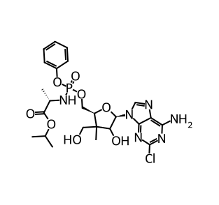 CC(C)OC(=O)[C@H](C)NP(=O)(OC[C@H]1O[C@@H](n2cnc3c(N)nc(Cl)nc32)C(O)C1(C)CO)Oc1ccccc1